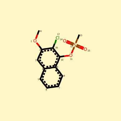 COc1cc2ccccc2c(OS(C)(=O)=O)c1Cl